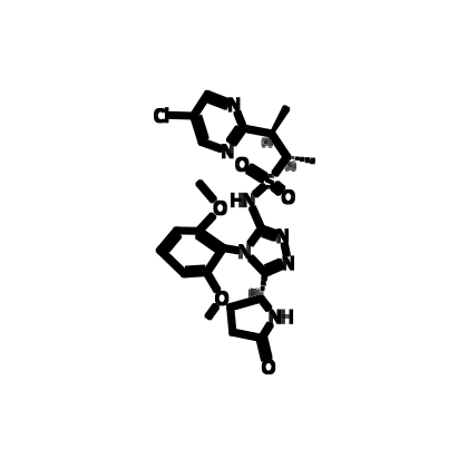 COc1cccc(OC)c1-n1c(NS(=O)(=O)[C@@H](C)[C@H](C)c2ncc(Cl)cn2)nnc1[C@H]1CCC(=O)N1